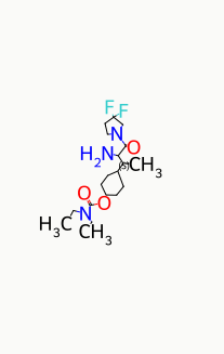 CCN(CC)C(=O)OC1CCC([C@H](C)C(N)C(=O)N2CCC(F)(F)C2)CC1